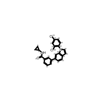 O=C(NC1CC1)c1cccc(-c2ccc3ccn(-c4ccc(Cl)cc4Cl)c3c2)c1